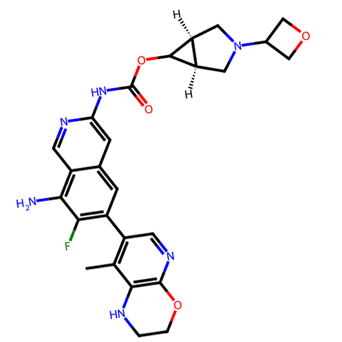 Cc1c(-c2cc3cc(NC(=O)OC4[C@H]5CN(C6COC6)C[C@@H]45)ncc3c(N)c2F)cnc2c1NCCO2